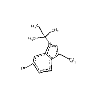 Cc1cn(C(C)(C)C)c2cc(Br)ccc12